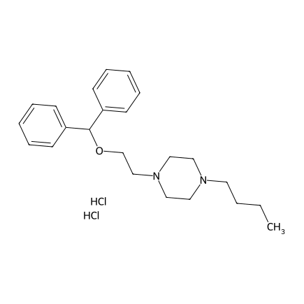 CCCCN1CCN(CCOC(c2ccccc2)c2ccccc2)CC1.Cl.Cl